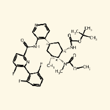 COC(=O)N(C)[C@@H]1[C@H](C)C[C@H](c2ccncc2NC(=O)c2ccc(F)c(-c3c(F)cccc3F)n2)C[C@@H]1NC(=O)OC(C)(C)C